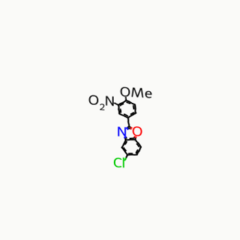 COc1ccc(-c2nc3cc(Cl)ccc3o2)cc1[N+](=O)[O-]